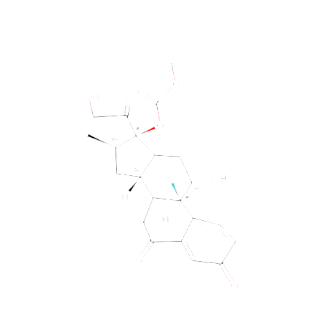 COC(=O)O[C@]1(C(=O)CO)[C@H](C)C[C@H]2[C@@H]3CC(=O)C4=CC(=O)C=C[C@]4(C)[C@@]3(F)[C@@H](O)C[C@@]21C